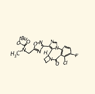 CN(Cc1nc(-c2ncn3c2[C@@H]2CCN2C(=O)c2c-3ccc(F)c2Cl)no1)C(=O)OC(C)(C)C